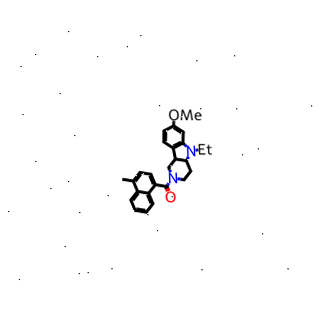 CCN1c2cc(OC)ccc2C2CN(C(=O)c3ccc(C)c4ccccc34)CCC21